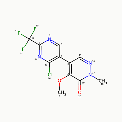 COc1c(-c2cnc(C(F)(F)F)nc2Cl)cnn(C)c1=O